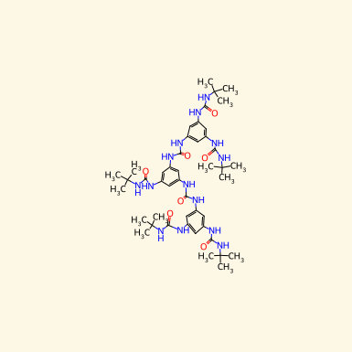 CC(C)(C)NC(=O)Nc1cc(NC(=O)Nc2cc(NC(=O)NC(C)(C)C)cc(NC(=O)NC(C)(C)C)c2)cc(NC(=O)Nc2cc(NC(=O)NC(C)(C)C)cc(NC(=O)NC(C)(C)C)c2)c1